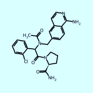 CC(=O)N(Cc1ccc2c(N)nccc2c1)C(C(=O)N1CCC[C@H]1C(N)=O)c1ccccc1Cl